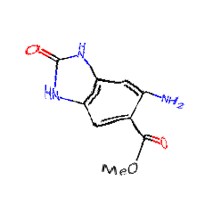 COC(=O)c1cc2[nH]c(=O)[nH]c2cc1N